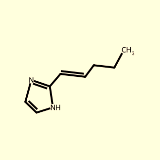 CCCC=Cc1ncc[nH]1